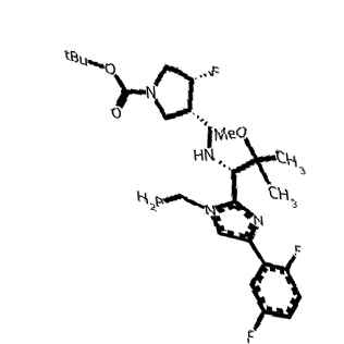 COC(C)(C)[C@@H](NC[C@@H]1CN(C(=O)OC(C)(C)C)C[C@@H]1F)c1nc(-c2cc(F)ccc2F)cn1CP